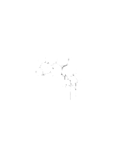 C/C=C(\CN1CCOCC1)CN1CCNC1